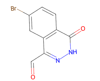 O=Cc1n[nH]c(=O)c2ccc(Br)cc12